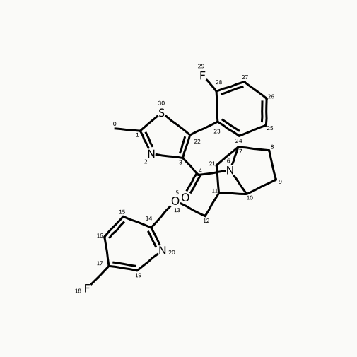 Cc1nc(C(=O)N2C3CCC2C(COc2ccc(F)cn2)C3)c(-c2ccccc2F)s1